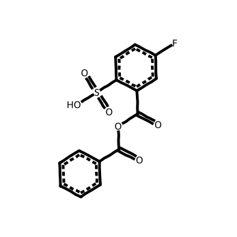 O=C(OC(=O)c1cc(F)ccc1S(=O)(=O)O)c1ccccc1